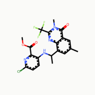 COC(=O)c1nc(Cl)ccc1NC(C)c1cc(C)cc2c(=O)n(C)c(C(F)(F)F)nc12